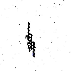 C/C=C/CCc1cc2ccc([C@@H]3CC[C@@H]4CC(CCCCCCC)CCC4C3)c(F)c2c(F)c1F